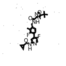 Cc1c(CNC(=O)c2noc(C(C)(C)C)n2)ccc(-c2cc(NC(=O)C3CC3)ncc2F)c1F